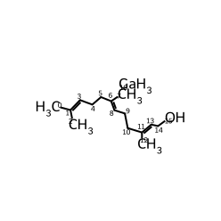 CC(C)=CCCC(C)=CCCC(C)=CCO.[GaH3]